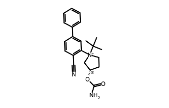 CC(C)(C)[N+]1(c2cc(-c3ccccc3)ccc2C#N)CC[C@H](OC(N)=O)C1